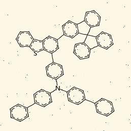 c1ccc(-c2ccc(N(c3ccc(-c4ccccc4)cc3)c3ccc(-c4cc(-c5ccc6c(c5)C5(c7ccccc7-c7ccccc75)c5ccccc5-6)cc5c4sc4ccccc45)cc3)cc2)cc1